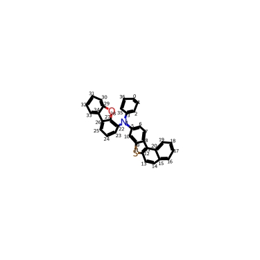 c1ccc(N(c2ccc3c(c2)sc2ccc4ccccc4c23)c2cccc3c2oc2ccccc23)cc1